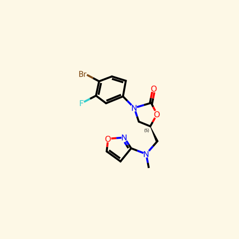 CN(C[C@H]1CN(c2ccc(Br)c(F)c2)C(=O)O1)c1ccon1